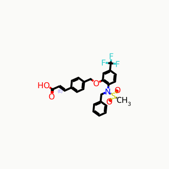 CS(=O)(=O)N(Cc1ccccc1)c1ccc(C(F)(F)F)cc1OCc1ccc(/C=C/C(=O)O)cc1